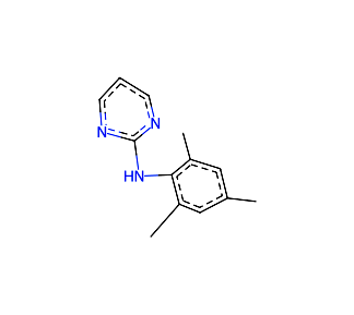 Cc1cc(C)c(Nc2ncccn2)c(C)c1